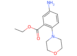 CCOC(=O)c1cc(N)ccc1N1CCOCC1